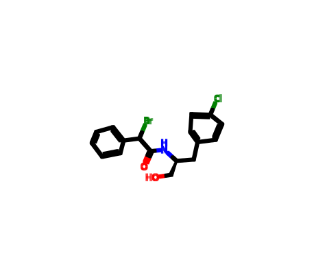 O=C(N[C@H](CO)Cc1ccc(Cl)cc1)C(Br)c1ccccc1